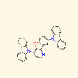 c1ccc2c(c1)c1ccccc1n2-c1ccc2oc3c(-n4c5ccccc5c5ccccc54)ccnc3c2c1